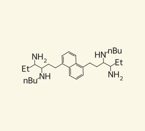 CCCCNC(CCc1cccc2c(CCC(NCCCC)C(N)CC)cccc12)C(N)CC